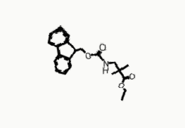 CCOC(=O)C(C)(C)CNC(=O)OCC1c2ccccc2-c2ccccc21